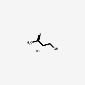 CC(=O)CCO.Cl